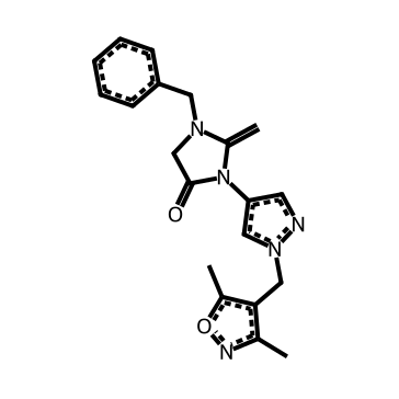 C=C1N(Cc2ccccc2)CC(=O)N1c1cnn(Cc2c(C)noc2C)c1